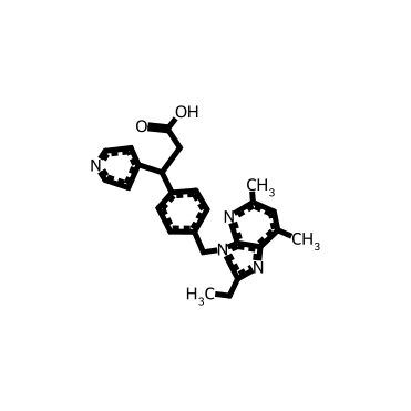 CCc1nc2c(C)cc(C)nc2n1Cc1ccc(C(CC(=O)O)c2ccncc2)cc1